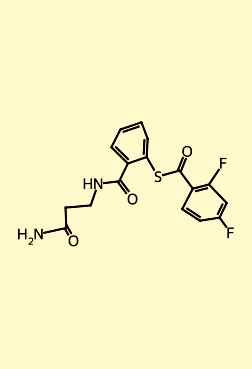 NC(=O)CCNC(=O)c1ccccc1SC(=O)c1ccc(F)cc1F